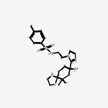 Cc1ccc(S(=O)(=O)OCCn2ccnc2C2(O)CCC3(OCCO3)C(C)(C)C2)cc1